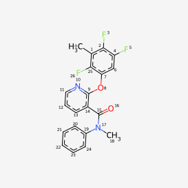 Cc1c(F)c(F)cc(Oc2ncccc2C(=O)N(C)c2ccccc2)c1F